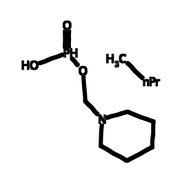 CCCC.O=[PH](O)OCN1CCCCC1